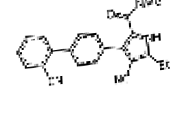 CCc1[nH]c(C(=O)NC)c(-c2ccc(-c3ccccc3C#N)cc2)c1C#N